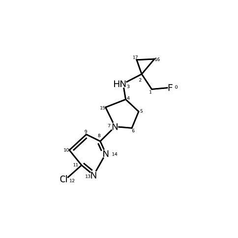 FCC1(NC2CCN(c3ccc(Cl)nn3)C2)CC1